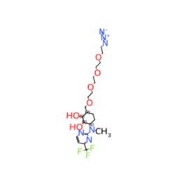 CN(c1nccc(C(F)(F)F)n1)[C@H]1CC[C@H](COCCOCCOCCOCCN=[N+]=[N-])[C@H](O)[C@@H]1O